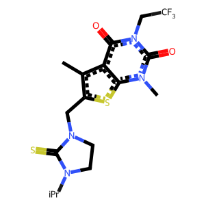 Cc1c(CN2CCN(C(C)C)C2=S)sc2c1c(=O)n(CC(F)(F)F)c(=O)n2C